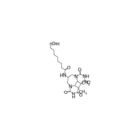 CCCCCCCCCCCCCCCCCC(=O)NC1CN2C(=O)NC(=O)C3(C)C2C2N(C1)C(=O)NC(=O)C23C